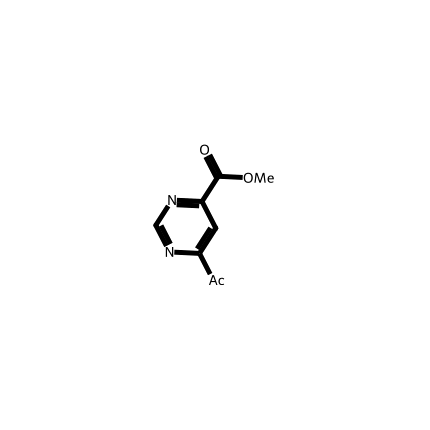 COC(=O)c1cc(C(C)=O)ncn1